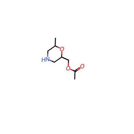 CC(=O)OCC1CNCC(C)O1